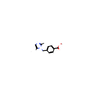 CCCCc1ncc(C=O)n1Cc1ccc(C(=O)OC(C)(C)C)cc1